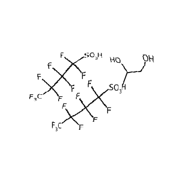 CC(O)CO.O=S(=O)(O)C(F)(F)C(F)(F)C(F)(F)C(F)(F)F.O=S(=O)(O)C(F)(F)C(F)(F)C(F)(F)C(F)(F)F